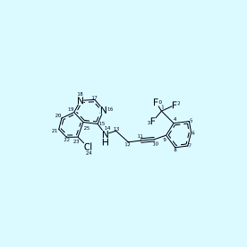 FC(F)(F)c1ccccc1C#CCCNc1ncnc2cccc(Cl)c12